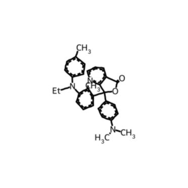 CCN(c1ccc(C)cc1)c1cccc(C2(c3ccc(N(C)C)cc3)OC(=O)c3cccnc32)c1C